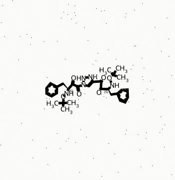 CC(C)(C)ON[C@@H](Cc1ccccc1)C(=O)C(=O)C1=CN(C(=O)C(=O)[C@H](Cc2ccccc2)NOC(C)(C)C)NN1